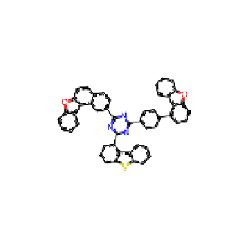 c1ccc2c(c1)oc1cccc(-c3ccc(-c4nc(-c5ccc6ccc7oc8ccccc8c7c6c5)nc(-c5cccc6sc7ccccc7c56)n4)cc3)c12